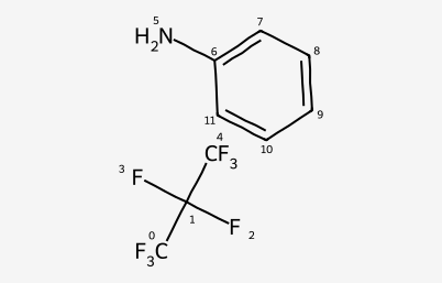 FC(F)(F)C(F)(F)C(F)(F)F.Nc1ccccc1